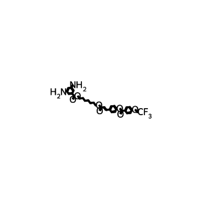 Nc1cc(N)cc(C(=O)OCCCCCCCOC(=O)C=Cc2ccc(OC(=O)c3ccc(OCC(F)(F)F)cc3)cc2)c1